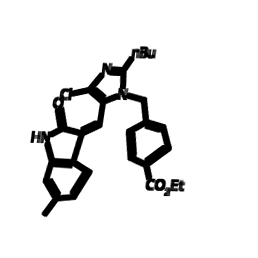 CCCCc1nc(Cl)c(/C=C2\C(=O)Nc3cc(C)ccc32)n1Cc1ccc(C(=O)OCC)cc1